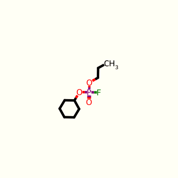 CCCOP(=O)(F)OC1CCCCC1